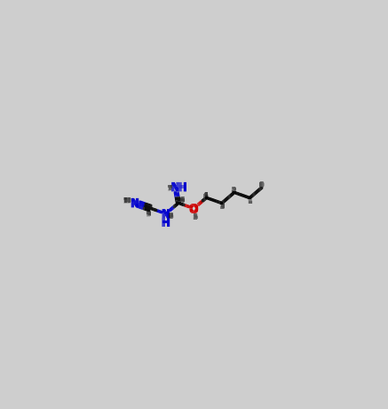 CCCCCOC(=N)NC#N